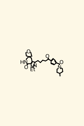 CCn1nc(CCCCC(=O)c2ccc(C(=O)N3CCC(C)CC3)cc2)c2c1C(=O)NCC1(CCOCC1)C2